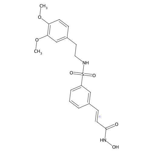 COc1ccc(CCNS(=O)(=O)c2cccc(/C=C/C(=O)NO)c2)cc1OC